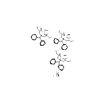 CCCCC(CCCC)(C(c1ccccc1)c1ccccc1)[N+](CC)(CC)CC.CCCCC(CCCC)(C(c1ccccc1)c1ccccc1)[N+](CC)(CC)CC.CCCCC(CCCC)(C(c1ccccc1)c1ccccc1)[N+](CC)(CC)CC.[O-]B([O-])[O-]